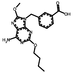 CCCCOc1nc(N)c2nc(OC)n(Cc3cccc(C(=O)O)c3)c2n1